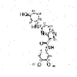 COc1ccc(NC(=O)c2cnc3ccc(Nc4cccc(O)c4)nn23)cc1OC